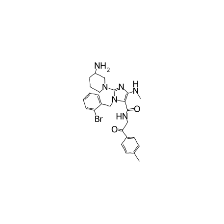 CNc1nc(N2CCCC(N)C2)n(Cc2ccccc2Br)c1C(=O)NCC(=O)c1ccc(C)cc1